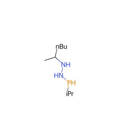 CCCCC(C)NNPC(C)C